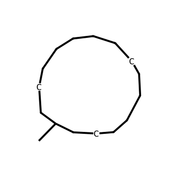 CC1CCCCCCCCCCCCCC1